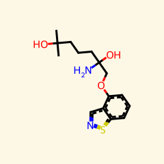 CC(C)(O)CCCC(N)(O)COc1cccc2sncc12